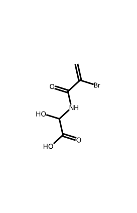 C=C(Br)C(=O)NC(O)C(=O)O